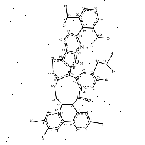 C=C1C2c3cc(C)ccc3-c3cc(C)c(C)c[n+]3C2CCc2ccc3c(oc4nc(-c5c(C(C)C)cccc5C(C)C)ccc43)c2-c2cc(CC(C)C)c(C)c[n+]21